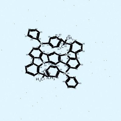 CC(C)(C)c1cccc2c3ccc(N(c4ccccc4)c4ccccc4)c4c5cc6c(cc5n(c12)c34)c1c(N(c2ccccc2)c2ccccc2)ccc2c3cccc(C(C)(C)C)c3n6c21